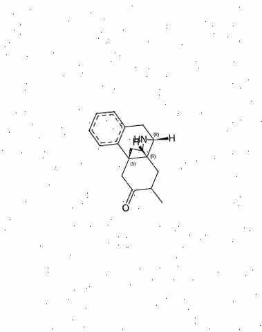 CC1C[C@H]2[C@H]3Cc4ccccc4[C@@]2(CCN3)CC1=O